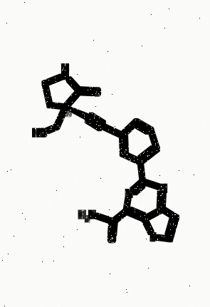 NC(=O)c1nc(-c2cccc(C#C[C@@]3(CO)CCNC3=O)c2)nc2ccsc12